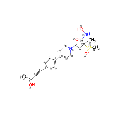 CC(O)C#Cc1ccc(C2=CCN(CCC(C)(C(=O)NO)[S+](C)[O-])CC2)cc1